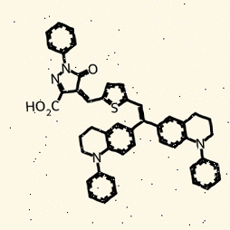 O=C(O)C1=NN(c2ccccc2)C(=O)/C1=C\c1ccc(C=C(c2ccc3c(c2)CCCN3c2ccccc2)c2ccc3c(c2)CCCN3c2ccccc2)s1